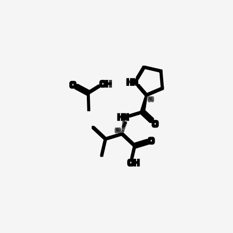 CC(=O)O.CC(C)[C@H](NC(=O)[C@@H]1CCCN1)C(=O)O